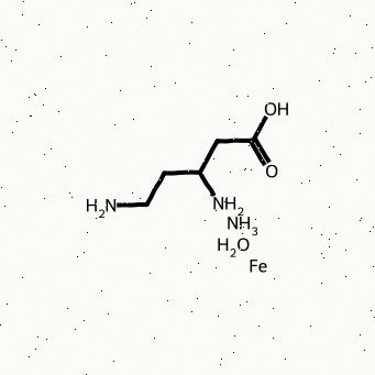 N.NCCC(N)CC(=O)O.O.[Fe]